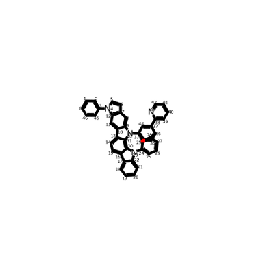 c1ccc(-n2ccc3cc4c(cc32)c2ccc3c5ccccc5n(-c5ccccc5)c3c2n4-c2cccc(-c3ccccn3)c2)cc1